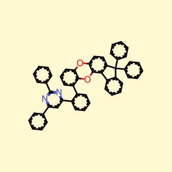 c1ccc(-c2cc(-c3ccccc3-c3cccc4c3Oc3c(ccc5c3-c3ccccc3C5(c3ccccc3)c3ccccc3)O4)nc(-c3ccccc3)n2)cc1